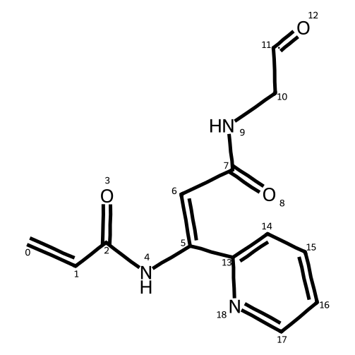 C=CC(=O)NC(=CC(=O)NC[C]=O)c1ccccn1